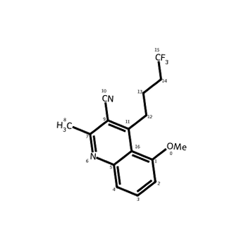 COc1cccc2nc(C)c(C#N)c(CCCC(F)(F)F)c12